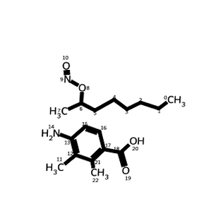 CCCCCCC(C)ON=O.Cc1c(N)ccc(C(=O)O)c1C